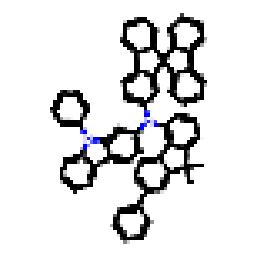 CC1(C)c2cc(-c3ccccc3)ccc2-c2c(N(c3ccc4c(c3)C3(c5ccccc5-c5ccccc53)c3ccccc3-4)c3ccc4c5ccccc5n(-c5ccccc5)c4c3)cccc21